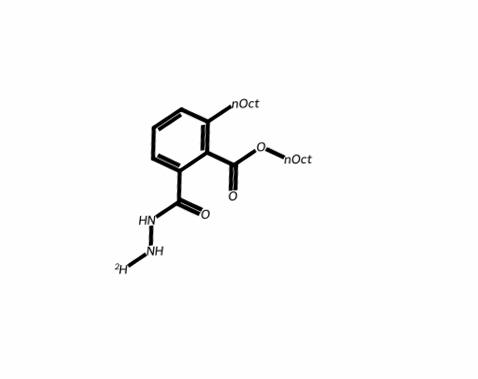 [2H]NNC(=O)c1cccc(CCCCCCCC)c1C(=O)OCCCCCCCC